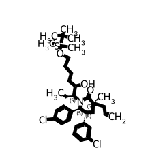 C=CC[C@@]1(C)C[C@H](c2cccc(Cl)c2)[C@@H](c2ccc(Cl)cc2)N([C@@H](CC)C(O)CCCCO[Si](C)(C)C(C)(C)C)C1=O